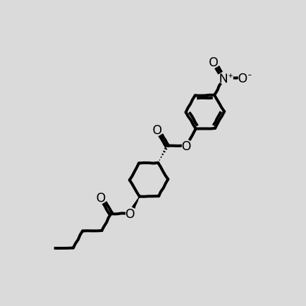 CCCCC(=O)O[C@H]1CC[C@H](C(=O)Oc2ccc([N+](=O)[O-])cc2)CC1